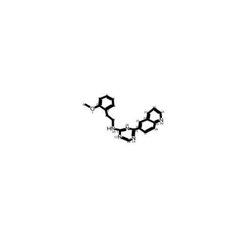 COc1ccccc1CCNc1ncnc(-c2ccc3ncccc3c2)n1